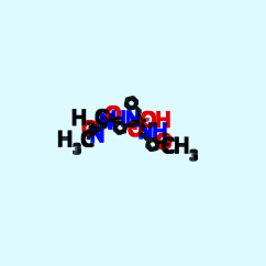 COc1cccc(CNCC(O)C(Cc2ccccc2)NC(=O)c2cccc(C(=O)N(C)Cc3coc(C)n3)c2)c1